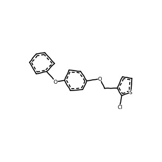 Clc1sccc1COc1ccc(Oc2ccccc2)cc1